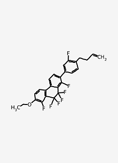 C=CCCc1ccc(-c2ccc3c(c2F)C(F)(F)C(F)(F)c2c-3ccc(OCC)c2F)cc1F